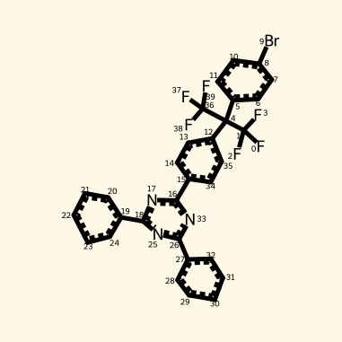 FC(F)(F)C(c1ccc(Br)cc1)(c1ccc(-c2nc(-c3ccccc3)nc(-c3ccccc3)n2)cc1)C(F)(F)F